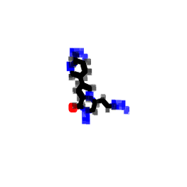 NCC[C@H]1CNC(=O)c2cc(-c3ccc(N)nc3)cn21